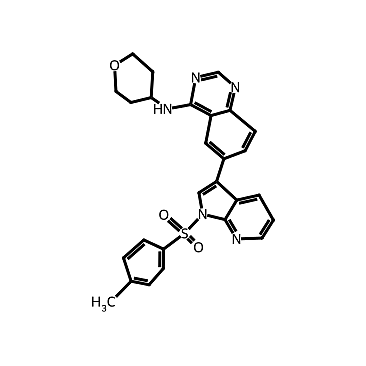 Cc1ccc(S(=O)(=O)n2cc(-c3ccc4ncnc(NC5CCOCC5)c4c3)c3cccnc32)cc1